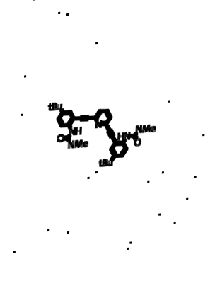 CNC(=O)Nc1ccc(C(C)(C)C)cc1C#Cc1cccc(C#Cc2cc(C(C)(C)C)ccc2NC(=O)NC)n1